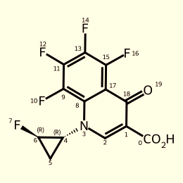 O=C(O)c1cn([C@@H]2C[C@H]2F)c2c(F)c(F)c(F)c(F)c2c1=O